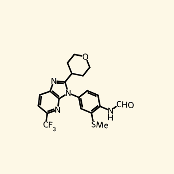 CSc1cc(-n2c(C3CCOCC3)nc3ccc(C(F)(F)F)nc32)ccc1NC=O